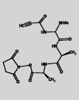 C#CC(=O)NC(NC(C)=O)C(=O)N[C@@H](C)C(=O)N[C@@H](C)C(=O)ON1C(=O)CCC1=O